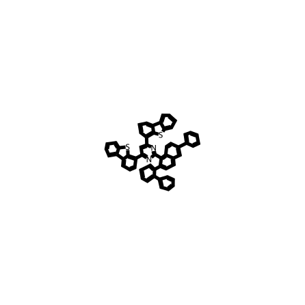 c1ccc(-c2ccc3c(-c4nc(-c5cccc6c5sc5ccccc56)cc(-c5cccc6c5sc5ccccc56)n4)c(-c4ccccc4-c4ccccc4)ccc3c2)cc1